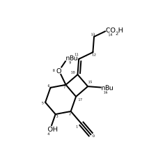 C#CC1C(O)CCC2(OCCCC)C(=CCCC(=O)O)C(CCCC)C12